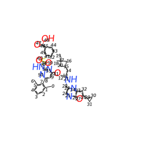 Cc1cccc(C)c1-c1cc(OCC(CC2CC(C)(C)C2)NCc2cnc3oc(C4CC4)cc3n2)nc(NS(=O)(=O)c2cccc(C(=O)O)c2)n1